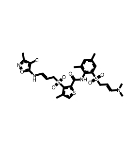 Cc1cc(C)c(NC(=O)c2scc(C)c2S(=O)(=O)CC=CNc2onc(C)c2Cl)c(S(=O)(=O)CC=CN(C)C)c1